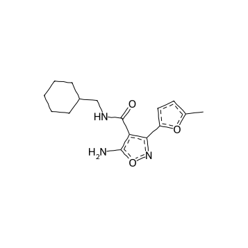 Cc1ccc(-c2noc(N)c2C(=O)NCC2CCCCC2)o1